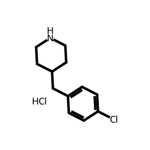 Cl.Clc1ccc(CC2CCNCC2)cc1